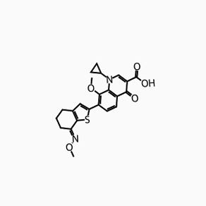 CON=C1CCCc2cc(-c3ccc4c(=O)c(C(=O)O)cn(C5CC5)c4c3OC)sc21